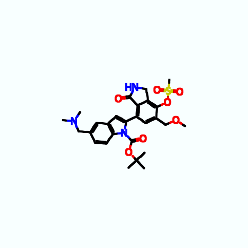 COCc1cc(-c2cc3cc(CN(C)C)ccc3n2C(=O)OC(C)(C)C)c2c(c1OS(C)(=O)=O)CNC2=O